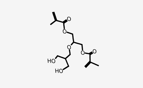 C=C(C)C(=O)OCC(COC(=O)C(=C)C)OCC(CO)CO